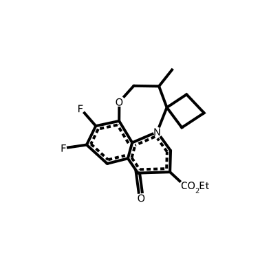 CCOC(=O)c1cn2c3c(c(F)c(F)cc3c1=O)OCC(C)C21CCC1